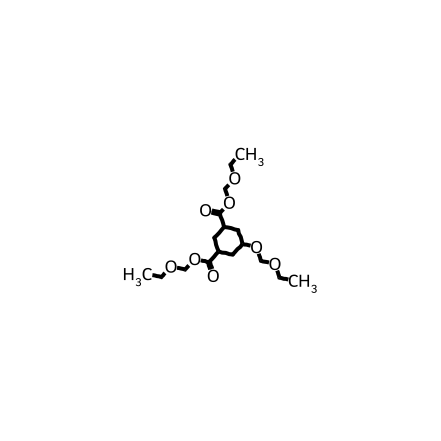 CCOCOC(=O)C1CC(OCOCC)CC(C(=O)OCOCC)C1